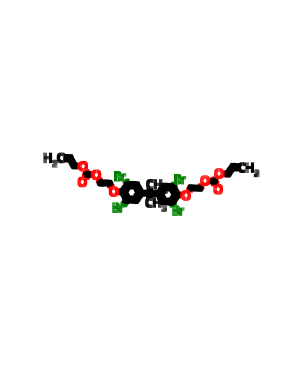 C=CCOC(=O)OCCOc1c(Br)cc(C(C)(C)c2cc(Br)c(OCCOC(=O)OCC=C)c(Br)c2)cc1Br